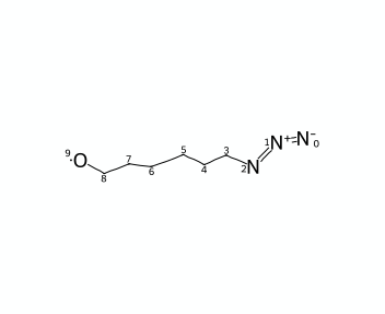 [N-]=[N+]=NCCCCCC[O]